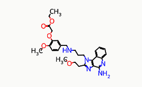 CCOC(=O)COc1cc(CNCCCn2c(CCOC)nc3c(N)nc4ccccc4c32)ccc1OC